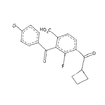 O=C(O)c1ccc(C(=O)C2CCC2)c(F)c1C(=O)c1ccc(Cl)cc1